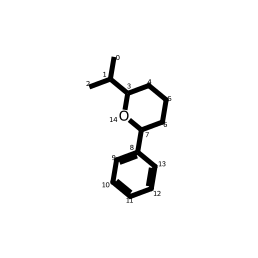 CC(C)C1CCCC(c2ccccc2)O1